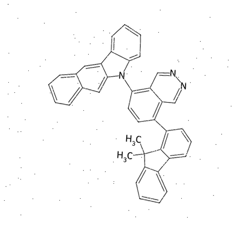 CC1(C)c2ccccc2-c2cccc(-c3ccc(-n4c5ccccc5c5cc6ccccc6cc54)c4cnncc34)c21